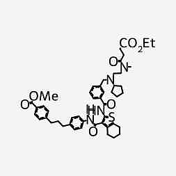 CCOC(=O)CCC(=O)N(C)CCN(Cc1cccc(C(=O)Nc2sc3c(c2C(=O)Nc2ccc(CCCc4ccc(C(=O)OC)cc4)cc2)CCCC3)c1)C1CCCC1